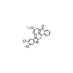 CCOC(=O)Cn1nc(Cc2nc3cc(OC)c(Cl)cc3[nH]2)c2ccccc2c1=O